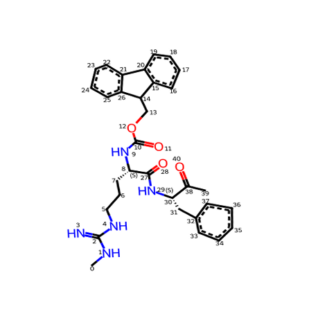 CNC(=N)NCCC[C@H](NC(=O)OCC1c2ccccc2-c2ccccc21)C(=O)N[C@@H](Cc1ccccc1)C(C)=O